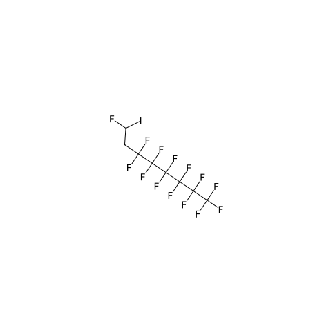 FC(I)CC(F)(F)C(F)(F)C(F)(F)C(F)(F)C(F)(F)C(F)(F)F